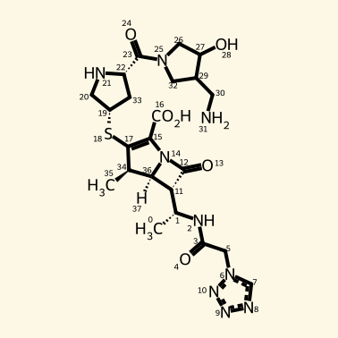 C[C@@H](NC(=O)Cn1cnnn1)[C@H]1C(=O)N2C(C(=O)O)=C(S[C@@H]3CN[C@H](C(=O)N4CC(O)C(CN)C4)C3)[C@H](C)[C@H]12